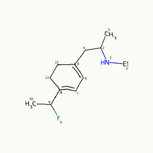 CCNC(C)CC1=CC=C(C(C)F)CC1